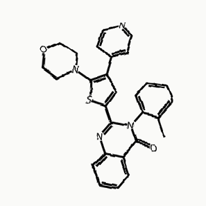 Cc1ccccc1-n1c(-c2cc(-c3ccncc3)c(N3CCOCC3)s2)nc2ccccc2c1=O